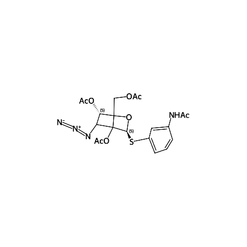 CC(=O)Nc1cccc(S[C@@H]2OC3(COC(C)=O)[C@@H](OC(C)=O)C(N=[N+]=[N-])C23OC(C)=O)c1